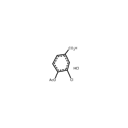 CC(=O)Oc1ccc(C(=O)O)cc1Cl.Cl